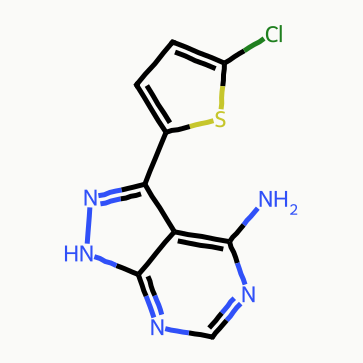 Nc1ncnc2[nH]nc(-c3ccc(Cl)s3)c12